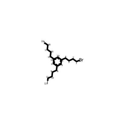 BrCCCCc1cc(CCCCI)cc(CCCCI)c1